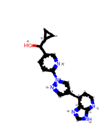 OC(c1ccc(-n2cc(-c3ccnc4[nH]cnc34)cn2)nc1)C1CC1